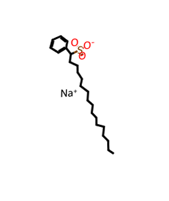 CCCCCCCCCCCCCCCCC(c1ccccc1)S(=O)(=O)[O-].[Na+]